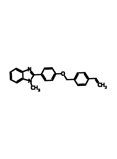 C=Cc1ccc(COc2ccc(-c3nc4ccccc4n3C)cc2)cc1